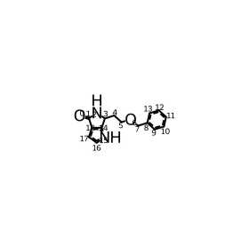 O=C1NC(CCOCc2ccccc2)c2[nH]ccc21